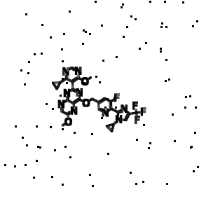 COc1cnc2nc(-c3c(OC)ncnc3C3CC3)nc(OCc3cnc(-c4nc(C(F)(F)F)cn4C4CC4)c(F)c3)c2n1